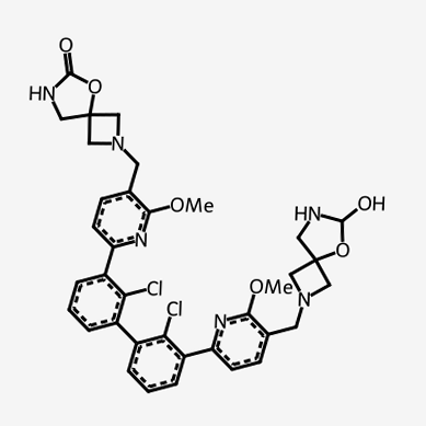 COc1nc(-c2cccc(-c3cccc(-c4ccc(CN5CC6(CNC(O)O6)C5)c(OC)n4)c3Cl)c2Cl)ccc1CN1CC2(CNC(=O)O2)C1